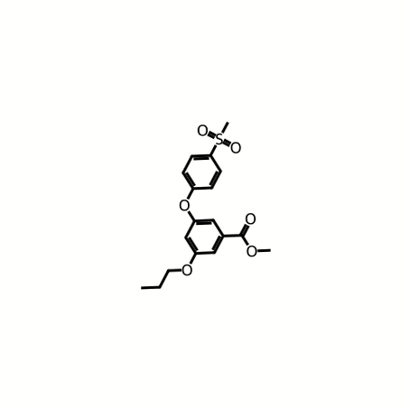 CCCOc1cc(Oc2ccc(S(C)(=O)=O)cc2)cc(C(=O)OC)c1